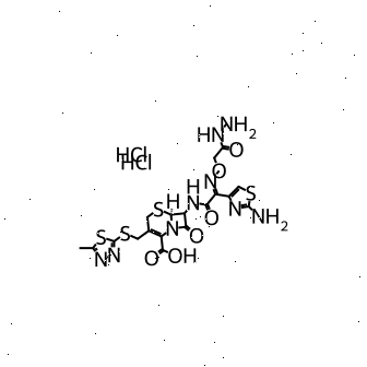 Cc1nnc(SCC2=C(C(=O)O)N3C(=O)C(NC(=O)C(=NOCC(=O)NN)c4csc(N)n4)[C@@H]3SC2)s1.Cl.Cl